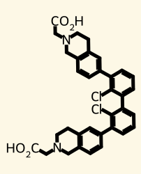 O=C(O)CN1CCc2cc(-c3cccc(-c4cccc(-c5ccc6c(c5)CCN(CC(=O)O)C6)c4Cl)c3Cl)ccc2C1